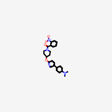 CN(C)c1ccc(-c2ccc(OC3CCN(C(=O)c4ccccc4[N+](=O)[O-])CC3)nc2)cc1